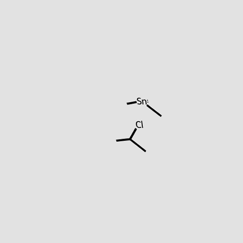 CC(C)Cl.[CH3][Sn][CH3]